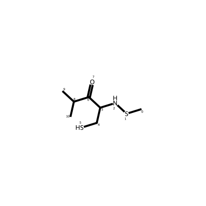 CSNC(CS)C(=O)C(C)C